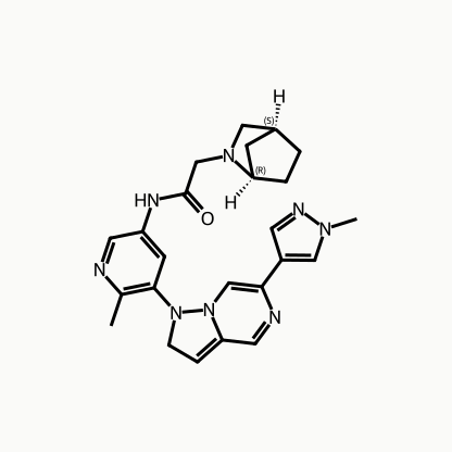 Cc1ncc(NC(=O)CN2C[C@H]3CC[C@@H]2C3)cc1N1CC=C2C=NC(c3cnn(C)c3)=CN21